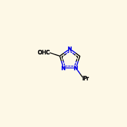 CC(C)n1cnc(C=O)n1